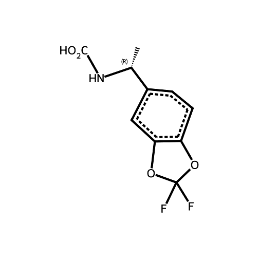 C[C@@H](NC(=O)O)c1ccc2c(c1)OC(F)(F)O2